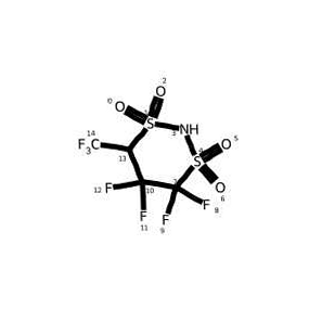 O=S1(=O)NS(=O)(=O)C(F)(F)C(F)(F)C1C(F)(F)F